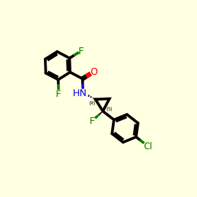 O=C(N[C@@H]1C[C@]1(F)c1ccc(Cl)cc1)c1c(F)cccc1F